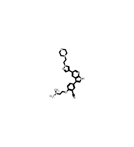 CN(C)CCOc1ccc(-c2c[nH]c3ncc(-c4cnn(CCN5CCOCC5)c4)cc23)cc1C#N